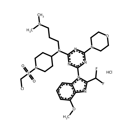 COc1cccc2c1nc(C(F)F)n2-c1nc(N2CCOCC2)nc(N(CCCN(C)C)C2CCN(S(=O)(=O)CCl)CC2)n1.Cl